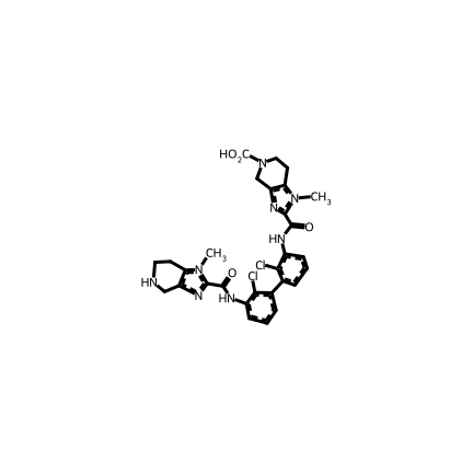 Cn1c(C(=O)Nc2cccc(-c3cccc(NC(=O)c4nc5c(n4C)CCN(C(=O)O)C5)c3Cl)c2Cl)nc2c1CCNC2